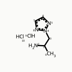 CC(N)Cn1nccn1.Cl.Cl